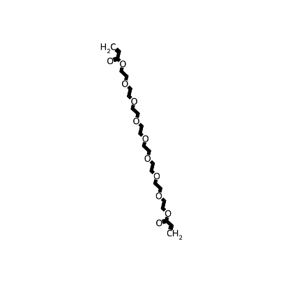 C=CC(=O)OCCOCCOCCOCCOCCOCCOCCOCCOC(=O)C=C